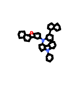 c1ccc(-n2c3ccccc3c3c(N(c4cccc(-c5cccc6ccccc56)c4)c4ccc5oc6c7ccccc7ccc6c5c4)cccc32)cc1